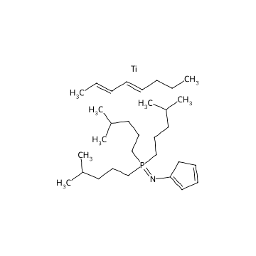 CC(C)CCCP(CCCC(C)C)(CCCC(C)C)=NC1=CC=CC1.CC=CC=CCCC.[Ti]